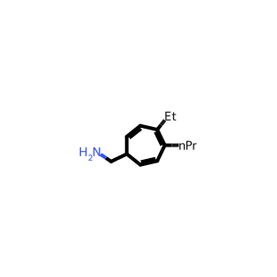 CCCC1=C(CC)C=CC(CN)C=C1